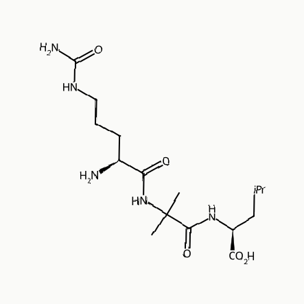 CC(C)C[C@H](NC(=O)C(C)(C)NC(=O)[C@@H](N)CCCNC(N)=O)C(=O)O